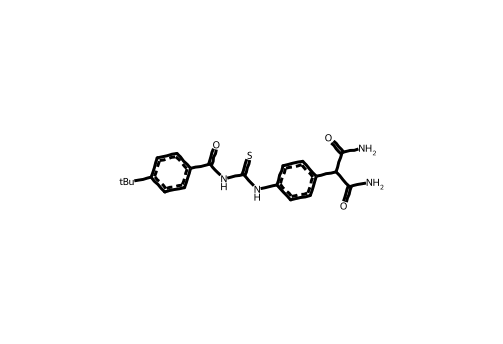 CC(C)(C)c1ccc(C(=O)NC(=S)Nc2ccc(C(C(N)=O)C(N)=O)cc2)cc1